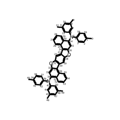 Cc1ccc(N(c2cc(C)cc(C)c2)c2cc3oc4cc5c(cc4c3c3ccccc23)oc2cc(N(c3ccc(C)cc3)c3cc(C)cc(C)c3)c3ccccc3c25)cc1